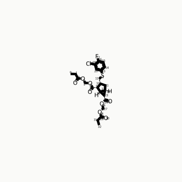 CCC(=O)OCOC(=O)[C@@H]1[C@H](CSc2ccc(F)c(Cl)c2)C[C@H]2[C@H](C(=O)OCOC(=O)CC)[C@H]21